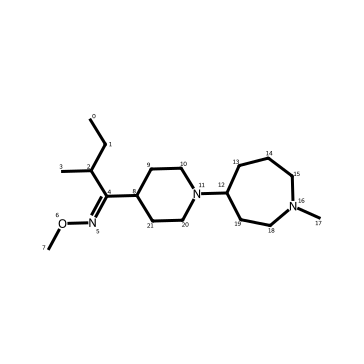 CCC(C)C(=NOC)C1CCN(C2CCCN(C)CC2)CC1